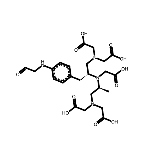 C[C@@H](CN(CC(=O)O)CC(=O)O)N(CC(=O)O)[C@H](Cc1ccc(NCC=O)cc1)CN(CC(=O)O)CC(=O)O